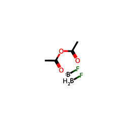 BF.CC(=O)OC(C)=O.[B]F